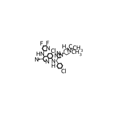 CC(C)(C)N1CCC(n2cc([C@@H](Nc3cc(Cl)cc4c(Nc5cnc(F)c(F)c5)c(C#N)cnc34)c3ccc(Cl)cc3)nn2)CC1